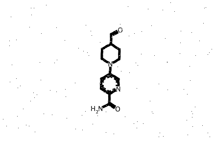 NC(=O)c1ccc(N2CCC(C=O)CC2)cn1